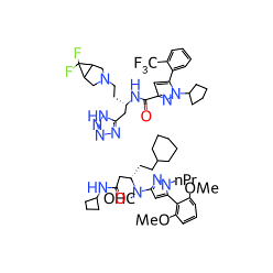 CCCn1nc(N(C=O)[C@@H](CCC2CCCCC2)CC(=O)NC2CCC2)cc1-c1c(OC)cccc1OC.O=C(N[C@@H](CCN1CC2C(C1)C2(F)F)Cc1nnn[nH]1)c1cc(-c2ccccc2C(F)(F)F)n(C2CCCC2)n1